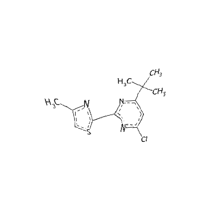 Cc1csc(-c2nc(Cl)cc(C(C)(C)C)n2)n1